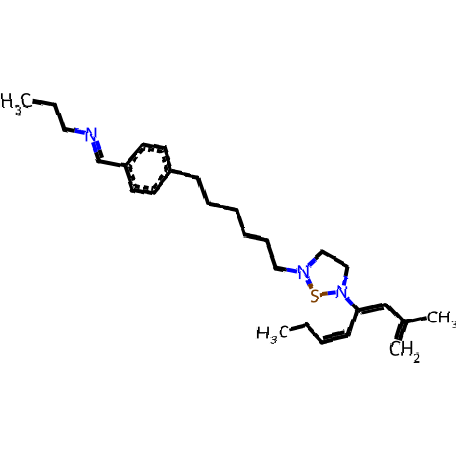 C=C(C)/C=C(\C=C/CC)N1CCN(CCCCCCc2ccc(/C=N/CCC)cc2)S1